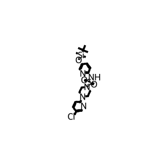 CC(C)(C)[Si](C)(C)Oc1ccc(NS(=O)(=O)N2CCN(c3ccc(Cl)cn3)CC2)nc1